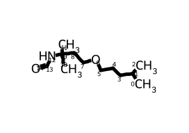 CC(C)CCCOCCC(C)(C)NC=O